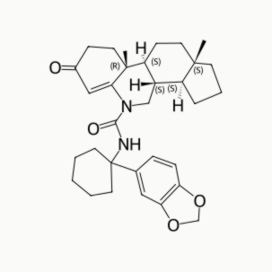 C[C@@]12CCC[C@H]1[C@@H]1CN(C(=O)NC3(c4ccc5c(c4)OCO5)CCCCC3)C3=CC(=O)CC[C@]3(C)[C@H]1CC2